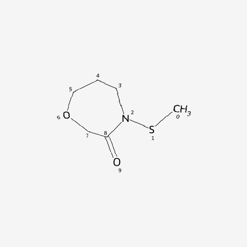 CSN1CCCOCC1=O